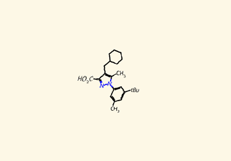 Cc1cc(-n2nc(C(=O)O)c(CC3CCCCC3)c2C)cc(C(C)(C)C)c1